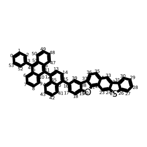 c1ccc(-c2c3ccccc3c(-c3ccc(-c4ccc5oc6c7cc8sc9ccccc9c8cc7ccc6c5c4)c4ccccc34)c3ccccc23)cc1